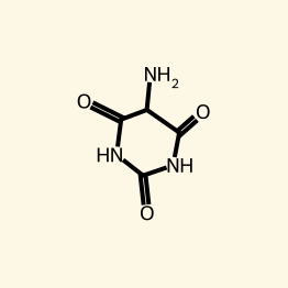 NC1C(=O)NC(=O)NC1=O